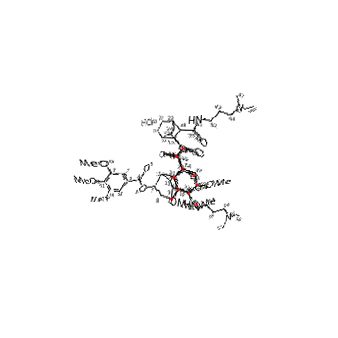 COc1cc(C(=O)OC2CC3CCC2C(C(=O)NC(=O)C2C4CCC(CC4OC(=O)c4cc(OC)c(OC)c(OC)c4)C2C(=O)NCCCN(C)C)C3C(=O)NCCCN(C)C)cc(OC)c1OC.Cl